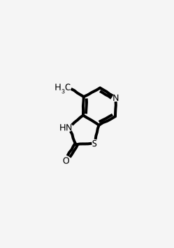 Cc1cncc2sc(=O)[nH]c12